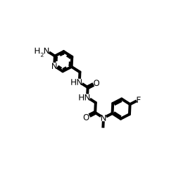 CN(C(=O)CNC(=O)NCc1ccc(N)nc1)C1=CCC(F)C=C1